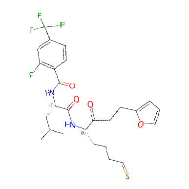 CC(C)C[C@H](NC(=O)c1ccc(C(F)(F)F)cc1F)C(=O)N[C@@H](CCCC=S)C(=O)CCc1ccco1